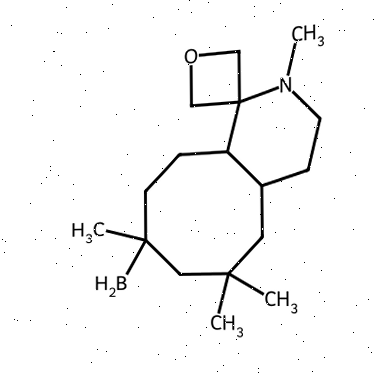 BC1(C)CCC2C(CCN(C)C23COC3)CC(C)(C)C1